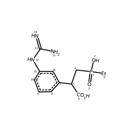 CCP(=O)(O)CC(C(=O)O)c1cccc(NC(=N)N)c1